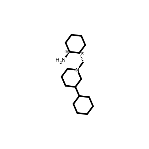 N[C@H]1CCCC[C@@H]1CN1CCCC(C2CCCCC2)C1